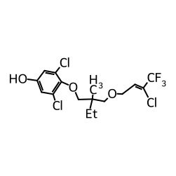 CCC(C)(COCC=C(Cl)C(F)(F)F)COc1c(Cl)cc(O)cc1Cl